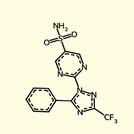 NS(=O)(=O)c1cnc(-n2nc(C(F)(F)F)nc2-c2ccccc2)nc1